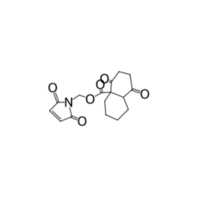 O=C1CCC(=O)C2(C(=O)OCN3C(=O)C=CC3=O)CCCCC12